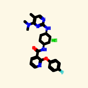 Cc1cnc(N[C@H]2CC[C@@H](NC(=O)c3cccnc3Oc3ccc(F)cc3)CC2)nc1N(C)C.Cl